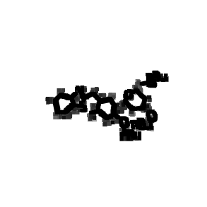 CCCCOC[C@@H]1C[C@H](OCCCC)C[C@H](c2cc(Cc3nc4ccccc4s3)c(C)cc2OCCCC)O1